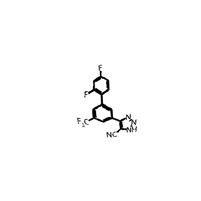 N#Cc1[nH]nnc1-c1cc(-c2ccc(F)cc2F)cc(C(F)(F)F)c1